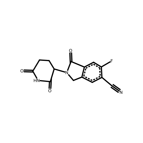 N#Cc1cc2c(cc1F)C(=O)N(C1CCC(=O)NC1=O)C2